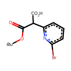 CCC(C)OC(=O)C(C(=O)O)c1cccc(Br)n1